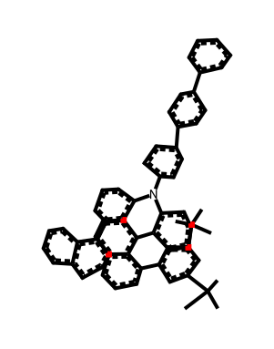 CC(C)(C)c1cc(-c2cccc3cccc(-c4ccccc4N(c4ccc(-c5ccc(-c6ccccc6)cc5)cc4)c4cccc(-c5cccc6ccccc56)c4)c23)cc(C(C)(C)C)c1